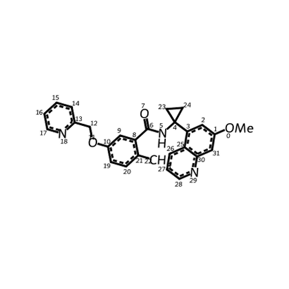 COc1cc(C2(NC(=O)c3cc(OCc4ccccn4)ccc3C)CC2)c2cccnc2c1